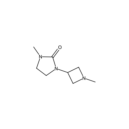 CN1CC(N2CCN(C)C2=O)C1